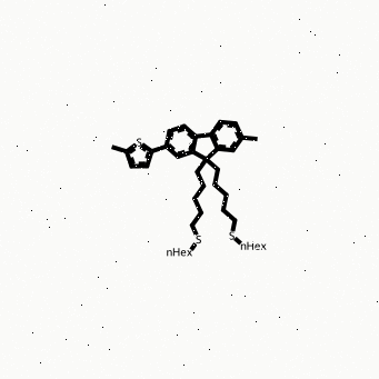 CCCCCCSCCCCCC1(CCCCCSCCCCCC)c2cc(C)ccc2-c2ccc(-c3ccc(C)s3)cc21